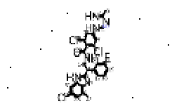 CC(=N)/N=C\Nc1cc(Cl)c(C(=O)NCC(c2cccc(F)c2)c2nc3c(C)cc(Cl)cc3[nH]2)c(Cl)c1